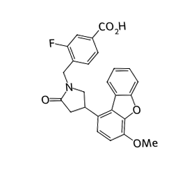 COc1ccc(C2CC(=O)N(Cc3ccc(C(=O)O)cc3F)C2)c2c1oc1ccccc12